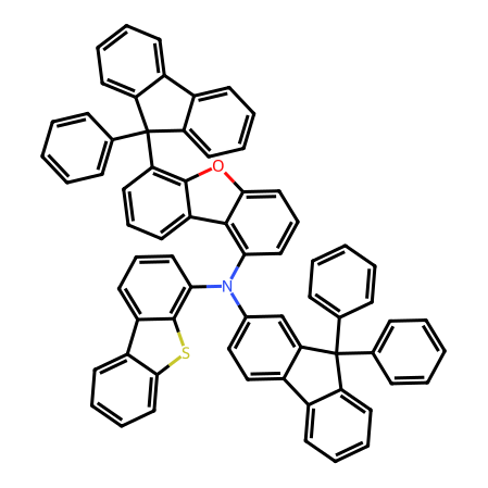 c1ccc(C2(c3ccccc3)c3ccccc3-c3ccc(N(c4cccc5c4sc4ccccc45)c4cccc5oc6c(C7(c8ccccc8)c8ccccc8-c8ccccc87)cccc6c45)cc32)cc1